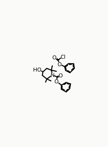 CC1(C)CC(O)CC(C)(C)N1C(=O)Oc1ccccc1.O=C(Cl)Oc1ccccc1